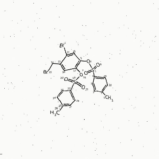 Cc1ccc(S(=O)(=O)Oc2cc(Br)c(CBr)cc2OS(=O)(=O)c2ccc(C)cc2)cc1